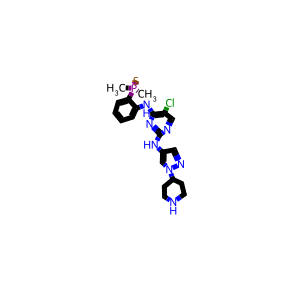 CP(C)(=S)c1ccccc1Nc1nc(Nc2cnn(C3CCNCC3)c2)ncc1Cl